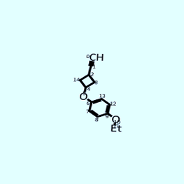 C#CC1CC(Oc2ccc(OCC)cc2)C1